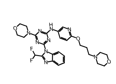 FC(F)c1nc2ccccc2n1-c1nc(Nc2ccc(OCCCN3CCOCC3)nc2)nc(N2CCOCC2)n1